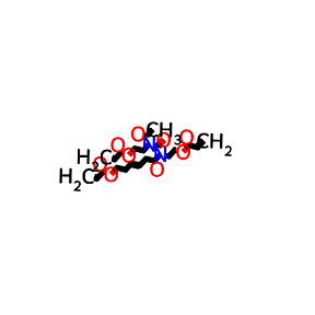 C=CC(=O)OCC/C=C/CC(=O)N(CCOC(=O)C=C)C(=O)N(CCOC(=O)C=C)C(C)=O